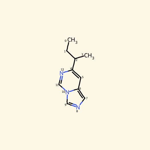 CCC(C)c1cc2cncn2cn1